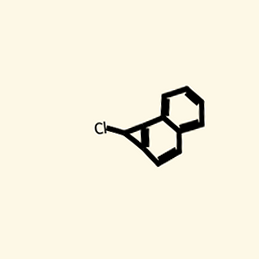 ClC1c2ccc3ccccc3c21